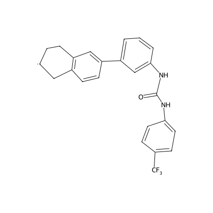 O=C(Nc1ccc(C(F)(F)F)cc1)Nc1cccc(-c2ccc3c(c2)CC[CH]C3)c1